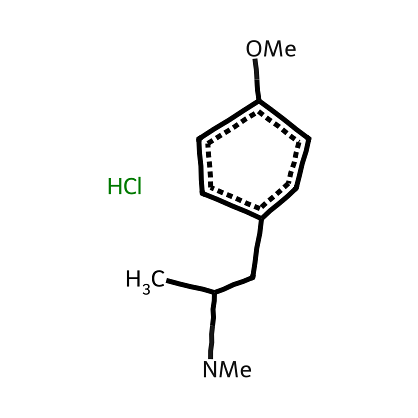 CNC(C)Cc1ccc(OC)cc1.Cl